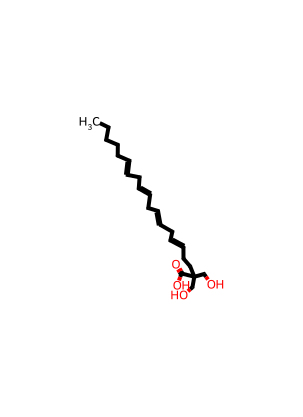 CCCCCC=CCC=CCC=CCC=CCCC(CO)(CO)C(=O)O